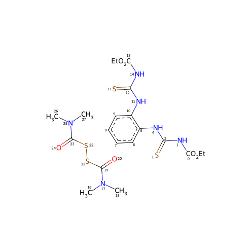 CCOC(=O)NC(=S)Nc1ccccc1NC(=S)NC(=O)OCC.CN(C)C(=O)SSC(=O)N(C)C